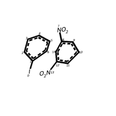 Ic1ccccc1.O=[N+]([O-])c1cccc([N+](=O)[O-])c1